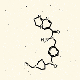 CC(C)CN1CCC([S+]([O-])c2ccc(CN(N)C(=O)C3=CN4CCN=C4N=C3)cc2)CC1